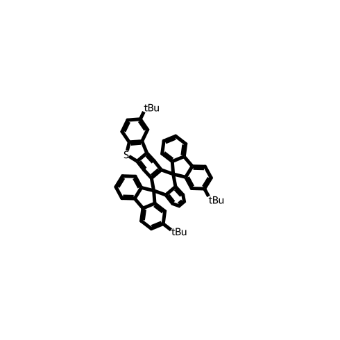 CC(C)(C)c1ccc2c(c1)C1(c3ccccc3-2)c2ccccc2C2(c3ccccc3-c3ccc(C(C)(C)C)cc32)c2cc3c(cc21)sc1ccc(C(C)(C)C)cc13